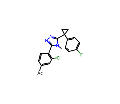 CC(=O)c1ccc(-c2nnc(C3(c4ccc(F)cc4)CC3)n2C)c(Cl)c1